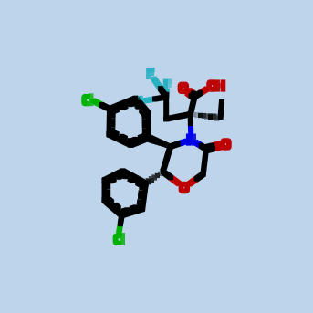 CC[C@](CC(F)(F)F)(C(=O)O)N1C(=O)CO[C@H](c2cccc(Cl)c2)[C@H]1c1ccc(Cl)cc1